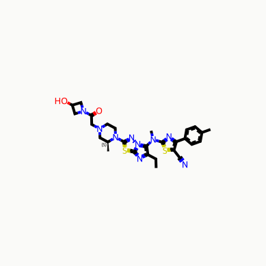 CCc1nc2sc(N3CCN(CC(=O)N4CC(O)C4)C[C@@H]3C)nn2c1N(C)c1nc(-c2ccc(C)cc2)c(C#N)s1